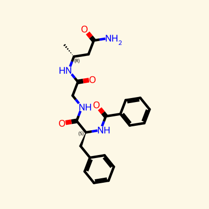 C[C@H](CC(N)=O)NC(=O)CNC(=O)[C@H](Cc1ccccc1)NC(=O)c1ccccc1